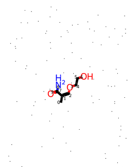 CC(=COCCO)C(N)=O